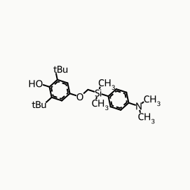 CN(C)c1ccc([Si](C)(C)COc2cc(C(C)(C)C)c(O)c(C(C)(C)C)c2)cc1